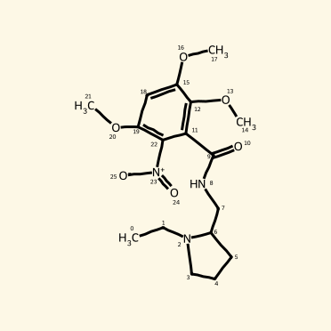 CCN1CCCC1CNC(=O)c1c(OC)c(OC)cc(OC)c1[N+](=O)[O-]